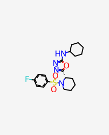 O=S(=O)(c1ccc(F)cc1)N1CCCC[C@H]1c1nnc(NC2CCCCC2)o1